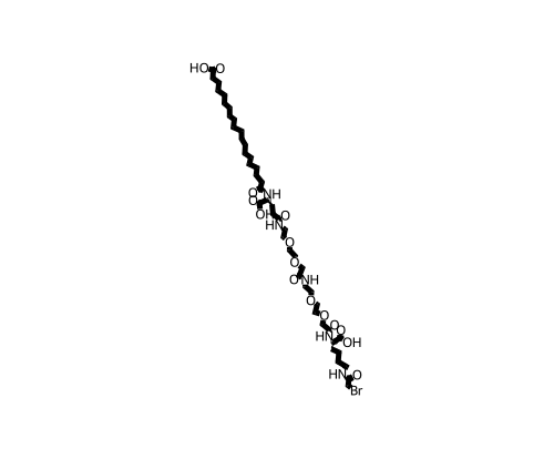 O=C(O)CCCCCCCCCCCCCCCCCCC(=O)N[C@@H](CCC(=O)NCCOCCOCC(=O)NCCOCCOCC(=O)N[C@@H](CCCCNC(=O)CBr)C(=O)O)C(=O)O